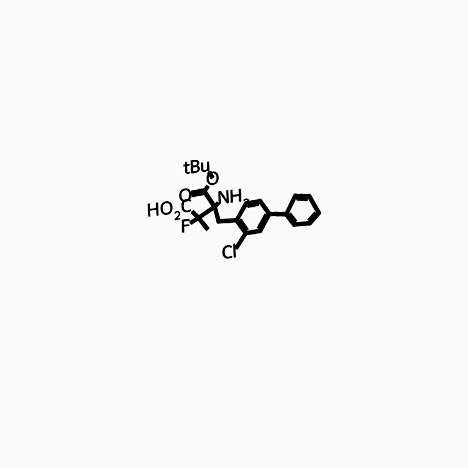 CC(C)(C)OC(=O)C(N)(Cc1ccc(-c2ccccc2)cc1Cl)C(C)(F)C(=O)O